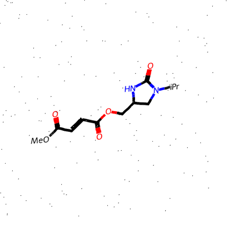 COC(=O)/C=C/C(=O)OCC1CN(C(C)C)C(=O)N1